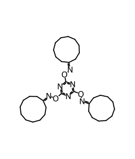 C1CCCCCC(=NOc2nc(ON=C3CCCCCCCCCC3)nc(ON=C3CCCCCCCCCC3)n2)CCCC1